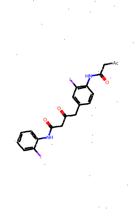 CC(=O)CC(=O)Nc1ccc(CC(=O)CC(=O)Nc2ccccc2I)cc1I